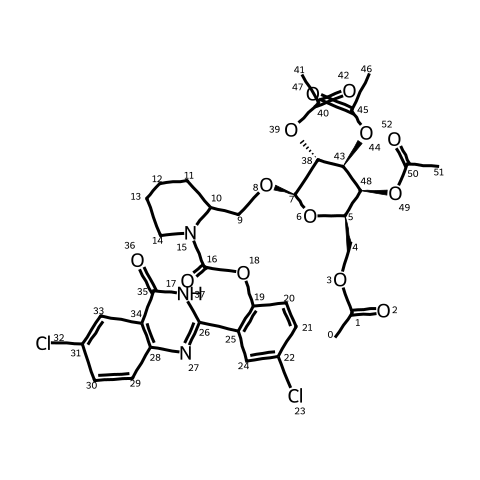 CC(=O)OC[C@H]1O[C@@H](OCC2CCCCN2C(=O)Oc2ccc(Cl)cc2-c2nc3ccc(Cl)cc3c(=O)[nH]2)[C@H](OC(C)=O)[C@@H](OC(C)=O)[C@H]1OC(C)=O